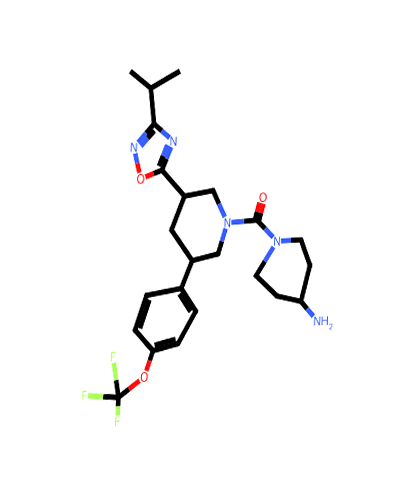 CC(C)c1noc(C2CC(c3ccc(OC(F)(F)F)cc3)CN(C(=O)N3CCC(N)CC3)C2)n1